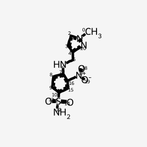 Cn1ccc(CNc2ccc(S(N)(=O)=O)cc2[N+](=O)[O-])n1